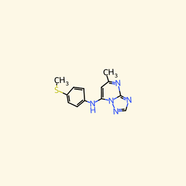 CSc1ccc(Nc2cc(C)nc3ncnn23)cc1